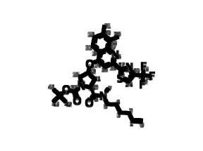 C=CCCCCN(C)C(=O)[C@@H]1CC(Oc2cc(-c3nc(C(F)(F)F)cs3)nc3c(C)c(C)ccc23)CN1C(=O)OC(C)(C)C